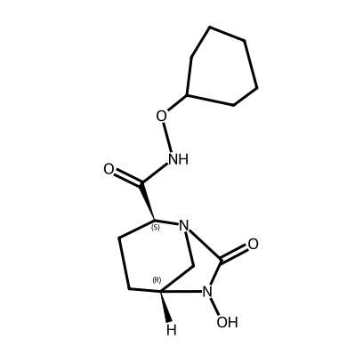 O=C(NOC1CCCCC1)[C@@H]1CC[C@@H]2CN1C(=O)N2O